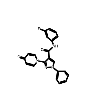 O=C(Nc1cccc(F)c1)c1cn(-c2ccccc2)nc1-n1ccc(=O)cc1